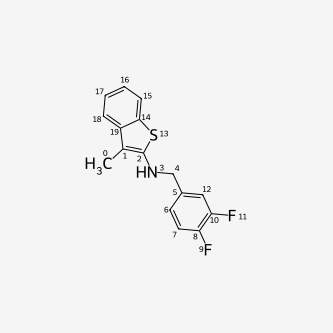 Cc1c(NCc2ccc(F)c(F)c2)sc2ccccc12